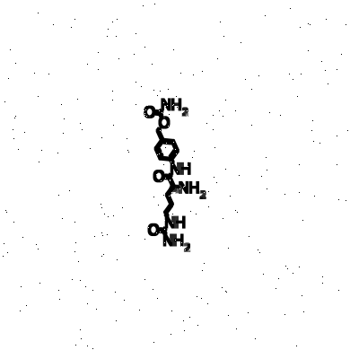 NC(=O)NCCC[C@H](N)C(=O)Nc1ccc(COC(N)=O)cc1